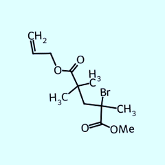 C=CCOC(=O)C(C)(C)CC(C)(Br)C(=O)OC